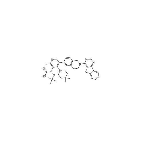 Cc1ncc(-c2ccc3c(c2)CCN(c2ncnc4c2oc2ccccc24)C3)c(N2CCC(C)(C)CC2)c1[C@H](OC(C)(C)C)C(=O)O